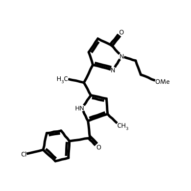 COCCn1nc(C(C)c2cc(C)c(C(=O)c3ccc(Cl)cc3)[nH]2)ccc1=O